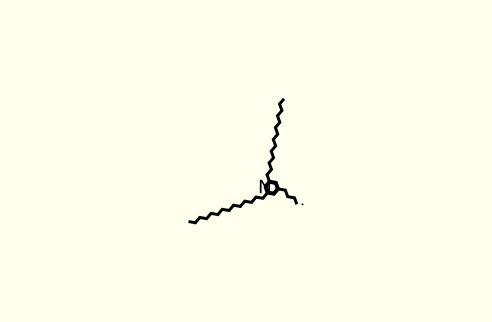 [CH2]CCCc1cc(CCCCCCCCCCCCCC)nc(CCCCCCCCCCCCCC)c1